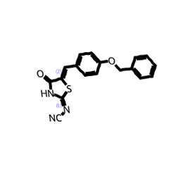 N#C/N=C1\NC(=O)/C(=C/c2ccc(OCc3ccccc3)cc2)S1